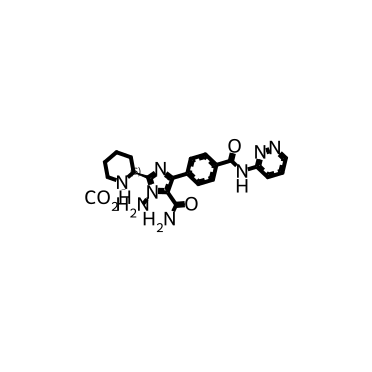 NC(=O)c1c(-c2ccc(C(=O)Nc3cccnn3)cc2)nc([C@@H]2CCCCN2C(=O)O)n1N